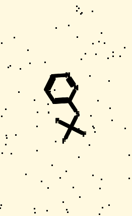 FC(F)(F)Sc1cc[c]nn1